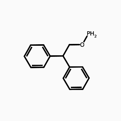 POCC(c1ccccc1)c1ccccc1